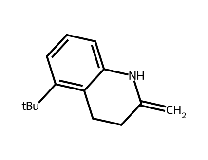 C=C1CCc2c(cccc2C(C)(C)C)N1